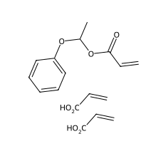 C=CC(=O)O.C=CC(=O)O.C=CC(=O)OC(C)Oc1ccccc1